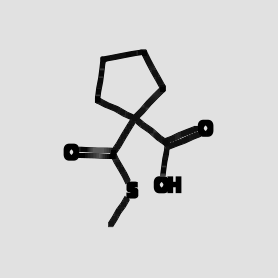 CSC(=O)C1(C(=O)O)CCCC1